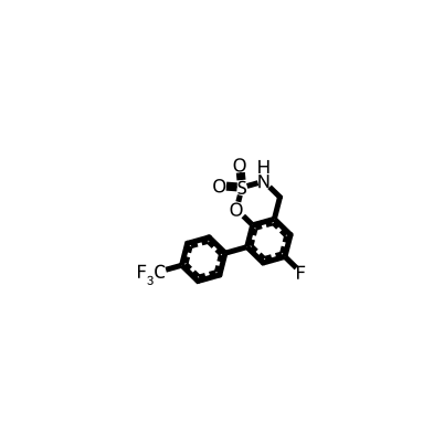 O=S1(=O)NCc2cc(F)cc(-c3ccc(C(F)(F)F)cc3)c2O1